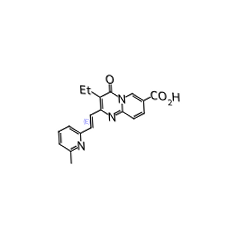 CCc1c(/C=C/c2cccc(C)n2)nc2ccc(C(=O)O)cn2c1=O